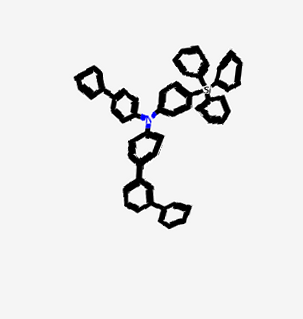 c1ccc(-c2ccc(N(c3ccc(-c4cccc(-c5ccccc5)c4)cc3)c3ccc([Si](c4ccccc4)(c4ccccc4)c4ccccc4)cc3)cc2)cc1